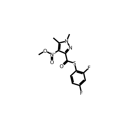 CO[N+](=O)c1c(C(=O)Sc2ccc(F)cc2F)nn(C)c1C